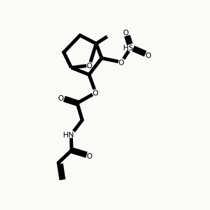 C=CC(=O)NCC(=O)OC1C2CCC(C)(O2)C1O[SH](=O)=O